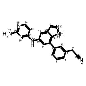 N#CCc1cccc(-c2cc(Nc3ccnc(N)n3)cc3cn[nH]c23)c1